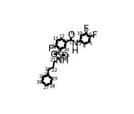 O=C(Nc1ccc(F)c(F)c1)c1ccc(F)c(S(=O)(=O)NCCCc2ccccc2)c1